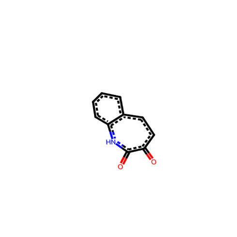 O=c1ccc2ccccc2[nH]c1=O